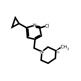 C[C@H]1CCCN(Cc2cc(Cl)nc(C3CC3)c2)C1